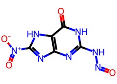 O=NNc1nc2nc([N+](=O)[O-])[nH]c2c(=O)[nH]1